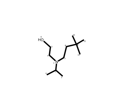 CC(C)N(CCO)CCC(C)(C)C